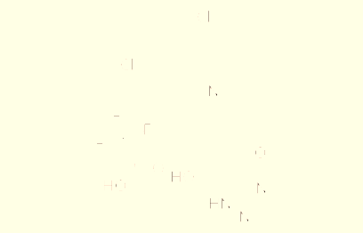 O=C(O)C(F)(F)F.OCc1[nH]nnc1OC1CCN(c2cc(Cl)cc(Cl)c2)CC1